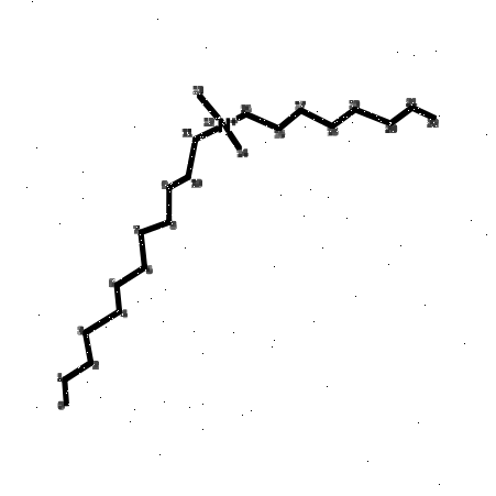 CCCCCCCCCCCC[N+](C)(C)CCCCCCCC